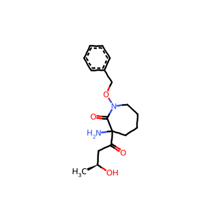 C[C@H](O)CC(=O)C1(N)CCCCN(OCc2ccccc2)C1=O